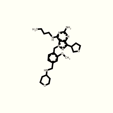 CCCCNc1nc(N)nc2c(C3CCOC3)nn(Cc3ccc(CNC4CCOCC4)cc3OC)c12